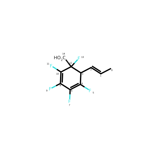 CC=CC1C(F)=C(F)C(F)=C(F)C1(F)C(=O)O